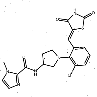 Cn1ccnc1C(=O)NC1CCN(c2c(Cl)cccc2/C=C2\SC(=O)NC2=O)C1